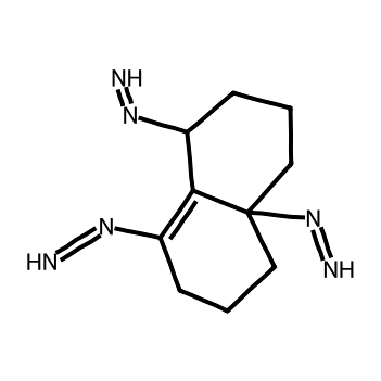 N=NC1=C2C(N=N)CCCC2(N=N)CCC1